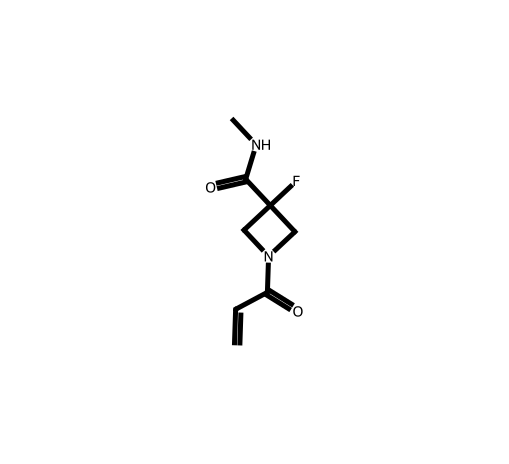 C=CC(=O)N1CC(F)(C(=O)NC)C1